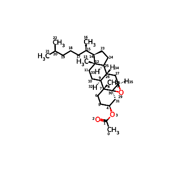 CC(=O)O[C@H]1CC[C@]2(C)[C@H]3CC[C@]4(C)[C@@H]([C@H](C)CCCC(C)C)CC[C@H]4[C@@H]3C[C@H]3O[C@]32C1